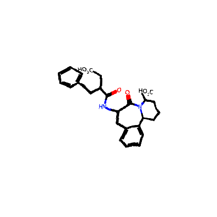 O=C(O)CC(Cc1ccccc1)C(=O)NC1Cc2ccccc2C2CCCC(C(=O)O)N2C1=O